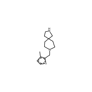 Cc1ccsc1CN1CCC2(CCNC2)CC1